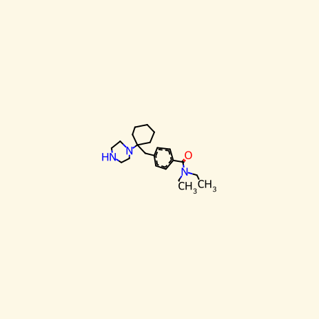 CCN(CC)C(=O)c1ccc(CC2(N3CCNCC3)CCCCC2)cc1